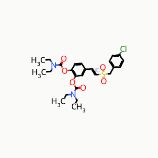 CCN(CC)C(=O)Oc1ccc(/C=C/S(=O)(=O)Cc2ccc(Cl)cc2)cc1OC(=O)N(CC)CC